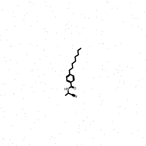 CCCCCCCCc1ccc(C(=O)NC(C)C#N)cc1